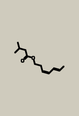 C/C=C/C=C\CCOC(=O)CC(C)C